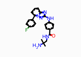 CC(C)(N)CNC(=O)c1ccc(Nc2nc3cccc(-c4ccc(F)cc4)n3n2)cc1